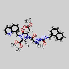 CCOC(OCC)[C@H](C)N(Cc1cccc2cccnc12)C(=O)[C@H](CC(=O)OC(C)(C)C)NC(=O)CN(C)NC(=O)NCc1cccc2ccccc12